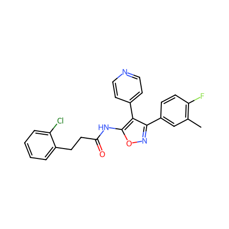 Cc1cc(-c2noc(NC(=O)CCc3ccccc3Cl)c2-c2ccncc2)ccc1F